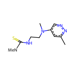 CNC(=S)NCCN(C)c1cnnc(C)c1